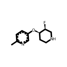 Cc1ccc(O[C@@H]2CCNC[C@@H]2F)cn1